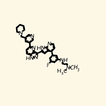 CN(C)CCNc1cc(F)cc(-c2ccnc3[nH]c(-c4n[nH]c5ccc(-c6cncc(CN7CCCCC7)c6)nc45)cc23)c1